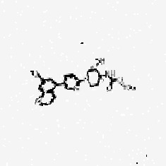 CC(C)(C)OC(=O)N[C@H]1CCN(c2ccc(-c3cc(Cl)cc4ncccc34)cn2)C[C@@H]1O